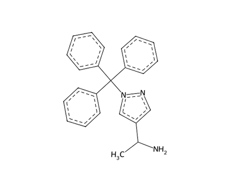 CC(N)c1cnn(C(c2ccccc2)(c2ccccc2)c2ccccc2)c1